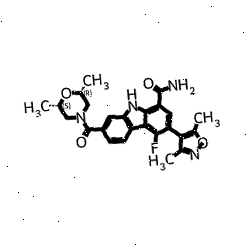 Cc1noc(C)c1-c1cc(C(N)=O)c2[nH]c3cc(C(=O)N4C[C@@H](C)O[C@@H](C)C4)ccc3c2c1F